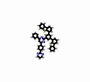 c1ccc(-c2cc(-c3ccc(-c4ncccn4)cc3)nc(-c3cc(-c4cccc5c4sc4ccccc45)cc(-c4cccc5c4sc4ccccc45)c3)n2)cc1